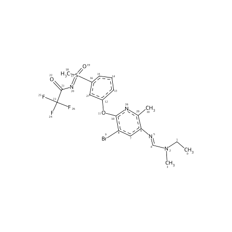 CCN(C)C=Nc1cc(Br)c(Oc2cccc(S(C)(=O)=NC(=O)C(F)(F)F)c2)nc1C